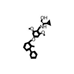 COc1cc(OCc2cccc(-c3ccccc3)c2C)cc(OC)c1CN[C@@H](CO)C1CC1